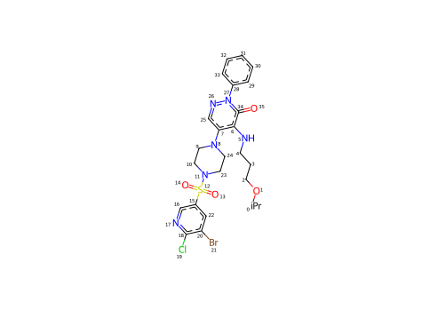 CC(C)OCCCNc1c(N2CCN(S(=O)(=O)c3cnc(Cl)c(Br)c3)CC2)cnn(-c2ccccc2)c1=O